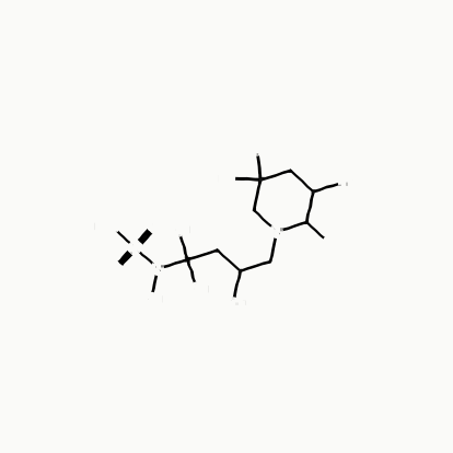 CCCC(CN1CC(C)(C)CC(CCC)C1C)CC(C)(C)N(C)S(C)(=O)=O